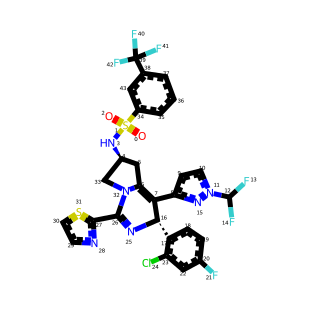 O=S(=O)(N[C@H]1CC2=C(c3ccn(C(F)F)n3)[C@H](c3ccc(F)cc3Cl)N=C(c3nccs3)N2C1)c1cccc(C(F)(F)F)c1